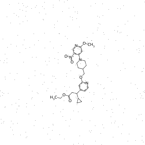 CCOC(=O)CC(c1ccnc(OCC2CCN(c3cc(OC)ncc3[N+](=O)[O-])CC2)c1)C1CC1